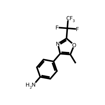 Cc1oc(C(F)(F)C(F)(F)F)nc1-c1ccc(N)cc1